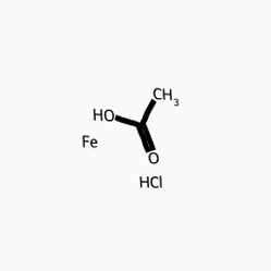 CC(=O)O.Cl.[Fe]